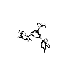 Cc1noc(-c2cc(O)cc(-c3nc(C)no3)c2)n1